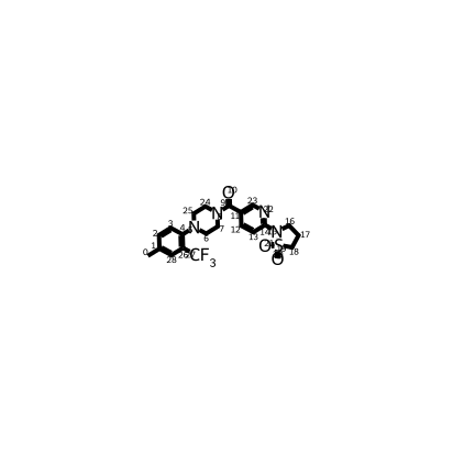 Cc1ccc(N2CCN(C(=O)c3ccc(N4CCCS4(=O)=O)nc3)CC2)c(C(F)(F)F)c1